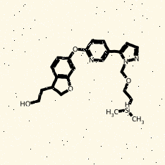 C[SiH](C)CCOCn1nccc1-c1ccc(Oc2ccc3c(c2)OCC3CCO)nc1